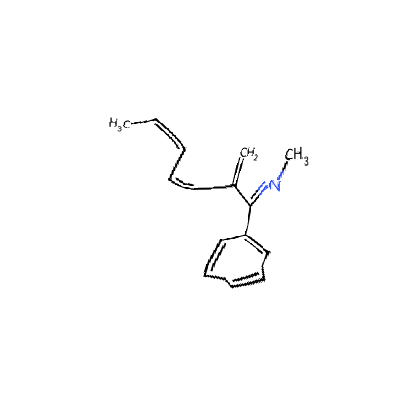 C=C(/C=C\C=C/C)/C(=N\C)c1ccccc1